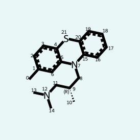 Cc1ccc2c(c1)N(C[C@H](C)CN(C)C)c1ccccc1S2